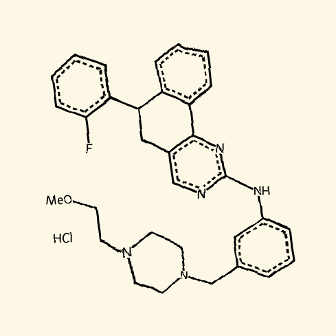 COCCN1CCN(Cc2cccc(Nc3ncc4c(n3)-c3ccccc3C(c3ccccc3F)C4)c2)CC1.Cl